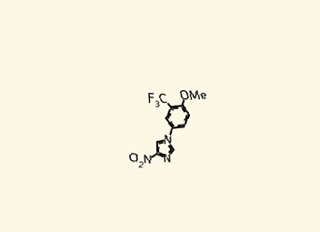 COc1ccc(-n2cnc([N+](=O)[O-])c2)cc1C(F)(F)F